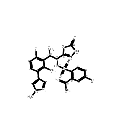 Cc1c(-c2cnn(C)c2)ccc(F)c1[C@@H](C)[C@H](NS(=O)(=O)c1ccc(Cl)cc1C(N)=O)c1n[nH]c(=O)o1